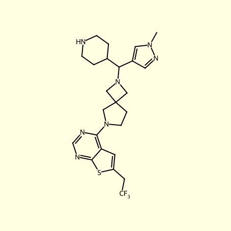 Cn1cc(C(C2CCNCC2)N2CC3(CCN(c4ncnc5sc(CC(F)(F)F)cc45)C3)C2)cn1